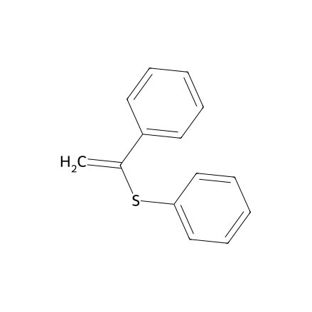 C=C(Sc1ccccc1)c1ccccc1